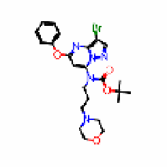 CC(C)(C)OC(=O)N(CCCN1CCOCC1)c1cc(Oc2ccccc2)nc2c(Br)cnn12